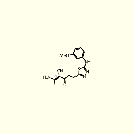 COc1cccc(Nc2nnc(SCC(=O)/C(C#N)=C(\C)N)s2)c1